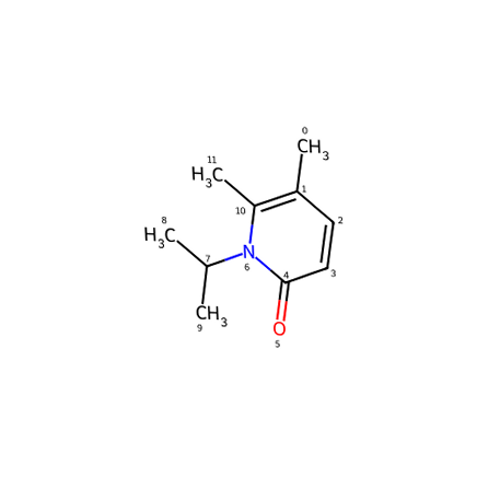 Cc1ccc(=O)n(C(C)C)c1C